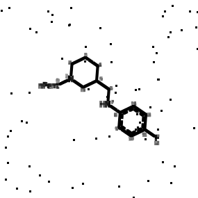 CCCCCN1CCCC(CNc2ccc(F)cc2)C1